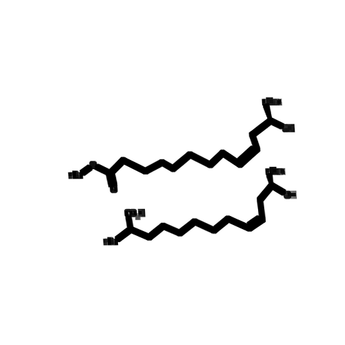 CCCCCC[C@@H](O)C/C=C\CCCCCCC(CCCC)C(=O)O.CCCCCC[C@@H](O)C/C=C\CCCCCCCC(=O)OCCCC